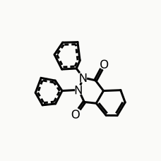 O=C1C2=CC=CCC2C(=O)N(c2ccccc2)N1c1ccccc1